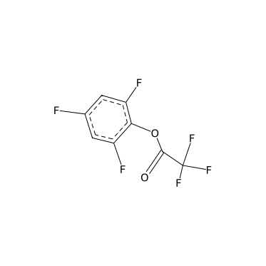 O=C(Oc1c(F)cc(F)cc1F)C(F)(F)F